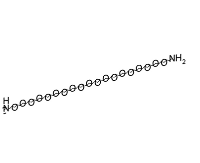 NCCOCCOCCOCCOCCOCCOCCOCCOCCOCCOCCOCCOCCOCCOCCOCCOCCOCCOCCOCCNC(=O)O